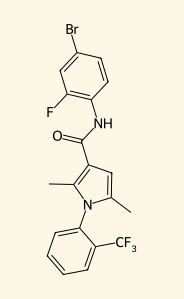 Cc1cc(C(=O)Nc2ccc(Br)cc2F)c(C)n1-c1ccccc1C(F)(F)F